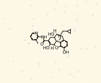 Cc1cccnc1NC(=O)C1=C(O)[C@@H]2Oc3c(O)ccc4c3[C@@]23CCN(CC2CC2)[C@H](C4)[C@]3(O)C1